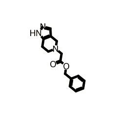 O=C(CN1CCc2[nH]ncc2C1)OCc1ccccc1